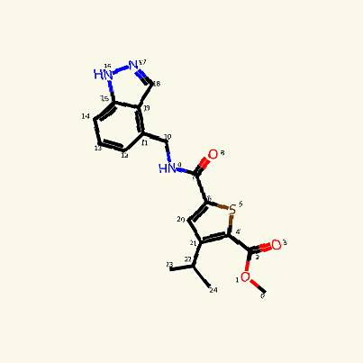 COC(=O)c1sc(C(=O)NCc2cccc3[nH]ncc23)cc1C(C)C